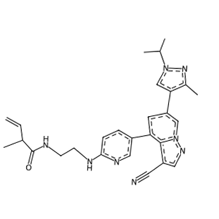 C=CC(C)C(=O)NCCNc1ccc(-c2cc(-c3cn(C(C)C)nc3C)cn3ncc(C#N)c23)cn1